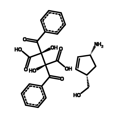 N[C@H]1C=C[C@@H](CO)C1.O=C(O)[C@](O)(C(=O)c1ccccc1)[C@](O)(C(=O)O)C(=O)c1ccccc1